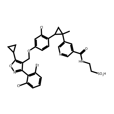 CCc1cccc(Cl)c1-c1noc(C2CC2)c1COc1ccc(C2CC2(C)c2cncc(C(=O)NCCS(=O)(=O)O)c2)c(Cl)c1